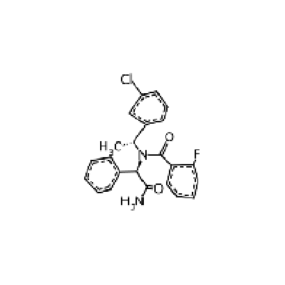 C[C@H](c1cccc(Cl)c1)N(C(=O)c1ccccc1F)[C@@H](C(N)=O)c1ccccc1